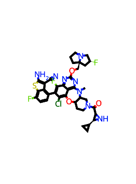 CN1c2nc(OC[C@@]34CCCN3C[C@H](F)C4)nc3c(F)c(-c4ccc(F)c5sc(N)c(C#N)c45)c(Cl)c(c23)OC2CCN(C(=O)C3N[C@H]3C3CC3)CC21